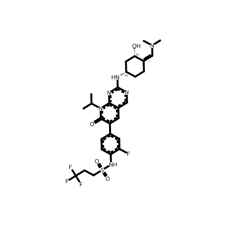 CC(C)n1c(=O)c(-c2ccc(NS(=O)(=O)CCC(F)(F)F)c(F)c2)cc2cnc(N[C@H]3CC/C(=C/N(C)C)[C@@H](O)C3)nc21